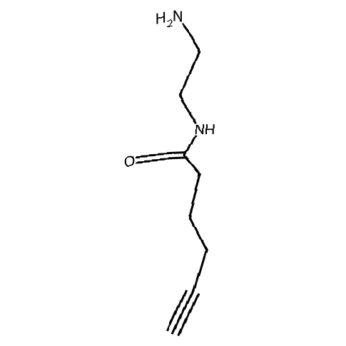 C#CCCCC(=O)NCCN